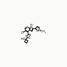 Cn1ccc(-c2cc3c(-c4noc(C5(O)CCC5)n4)c(Cl)cnc3[nH]2)n1